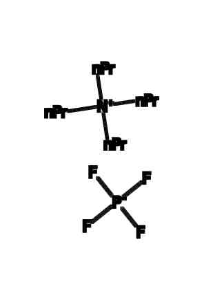 CCC[N+](CCC)(CCC)CCC.F[P-](F)(F)F